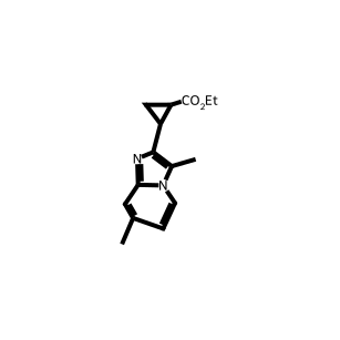 CCOC(=O)C1CC1c1nc2cc(C)ccn2c1C